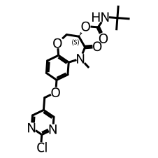 CN1C(=O)[C@@H](OC(=O)NC(C)(C)C)COc2ccc(OCc3cnc(Cl)nc3)cc21